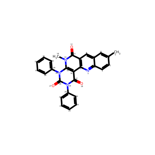 Cc1ccc2nc3c(cc2c1)c(=O)n(C)c1c3c(=O)n(-c2ccccc2)c(=O)n1-c1ccccc1